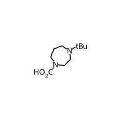 CC(C)(C)N1CCCN(C(=O)O)CC1